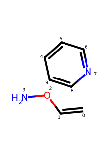 C=CON.c1ccncc1